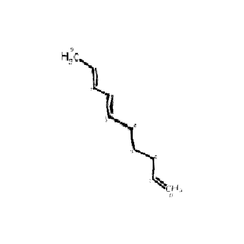 C=CCCCC=CC=CC